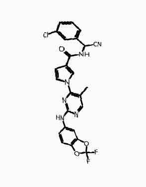 Cc1cnc(Nc2ccc3c(c2)OC(F)(F)O3)nc1-n1ccc(C(=O)NC(C#N)c2cccc(Cl)c2)c1